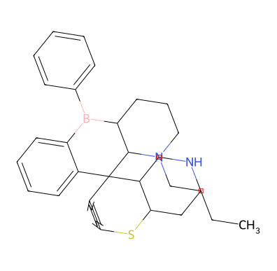 CCCCN1CCCC2B(c3ccccc3)c3ccccc3C3(c4ccccc4SC4CCNCC43)C21